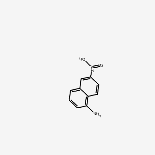 Nc1cccc2cc([PH](=O)O)ccc12